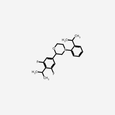 CC(C)c1ccccc1N1CCOC(c2cc(F)c(C(C)C)c(F)c2)C1